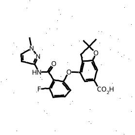 Cn1ccc(NC(=O)c2c(F)cccc2Oc2cc(C(=O)O)cc3c2CC(C)(C)O3)n1